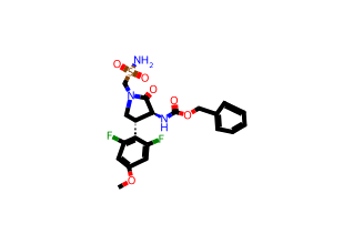 COc1cc(F)c([C@@H]2CN(CS(N)(=O)=O)C(=O)[C@H]2NC(=O)OCc2ccccc2)c(F)c1